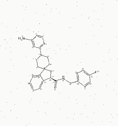 Nc1ccnc(N2CCC3(CC2)O[C@@H](C(=O)NCc2ccc(F)cc2)c2ccccc23)c1